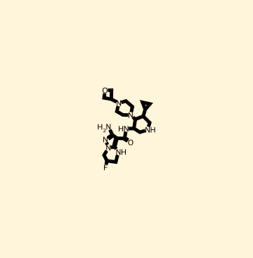 Nc1nn2c(c1C(=O)NC1CNCC(C3CC3)C1N1CCN(C3COC3)CC1)NCC(F)C2